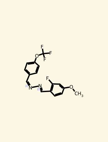 COc1ccc(/C=N/N=C\c2ccc(OC(F)(F)F)cc2)c(F)c1